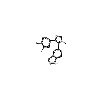 Cn1cnc(-c2ccc(F)c(F)c2)c1-c1ccc2[nH]ncc2c1